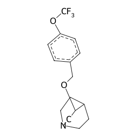 FC(F)(F)Oc1ccc(COC2CN3CCC2CC3)cc1